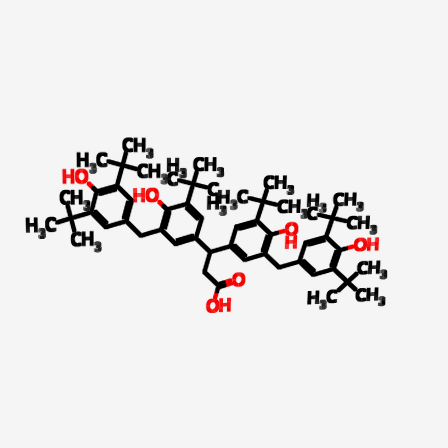 CC(C)(C)c1cc(C(CC(=O)O)c2cc(Cc3cc(C(C)(C)C)c(O)c(C(C)(C)C)c3)c(O)c(C(C)(C)C)c2)cc(Cc2cc(C(C)(C)C)c(O)c(C(C)(C)C)c2)c1O